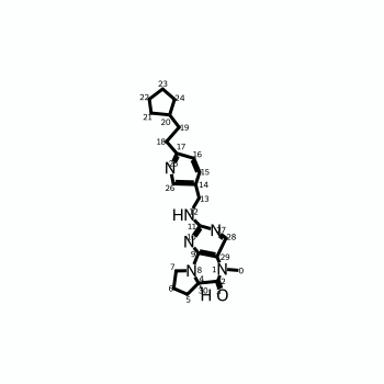 CN1C(=O)[C@H]2CCCN2c2nc(NCc3ccc(CCC4CCCC4)nc3)ncc21